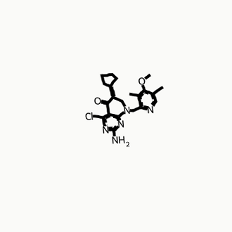 COc1c(C)cnc(CN2CC(=C3CCCC3)C(=O)c3c(Cl)nc(N)nc32)c1C